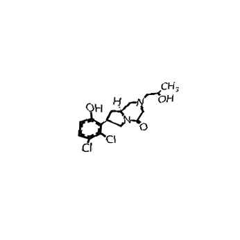 CC(O)CN1CC(=O)N2C[C@@H](c3c(O)ccc(Cl)c3Cl)C[C@H]2C1